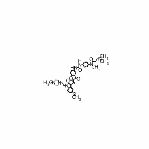 COc1ccc2c(c1)c(/C=C1\Oc3ccc(NC(=O)Nc4ccc(N(C)C(=O)CCN(C)C)cc4)cc3C1=O)c(C)n2CCN1CCN(C)CC1